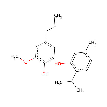 C=CCc1ccc(O)c(OC)c1.Cc1ccc(C(C)C)c(O)c1